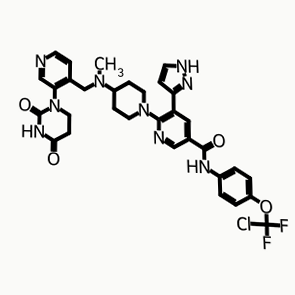 CN(Cc1ccncc1N1CCC(=O)NC1=O)C1CCN(c2ncc(C(=O)Nc3ccc(OC(F)(F)Cl)cc3)cc2-c2cc[nH]n2)CC1